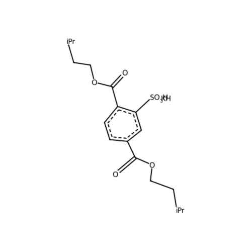 CC(C)CCOC(=O)c1ccc(C(=O)OCCC(C)C)c(S(=O)(=O)O)c1.[KH]